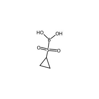 O=S(=O)(B(O)O)C1CC1